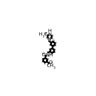 CC(=O)c1cccc(C(=O)NCc2cccc(-c3cccc(CN4CCNC(C)C4)c3)c2)c1